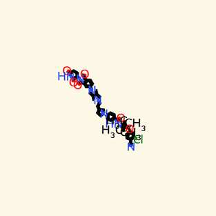 CC1(C)C(NC(=O)c2ccc(N3CCC(CCN4CC5CN(c6ccc7c(c6)C(=O)N(C6CCC(=O)NC6=O)C7=O)CC5C4)C3)cc2)C(C)(C)C1Oc1ccc(C#N)c(Cl)c1